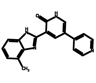 Cc1cccc2[nH]c(-c3cc(-c4ccncc4)c[nH]c3=O)nc12